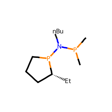 CCCCN(P(C)C)P1CCC[C@H]1CC